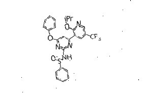 CC(C)Oc1ncc(C(F)(F)F)cc1-c1cc(Oc2ccccc2)nc(N[S+]([O-])c2ccccc2)n1